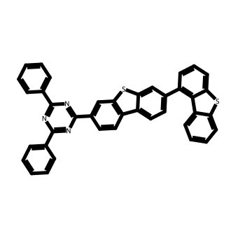 c1ccc(-c2nc(-c3ccccc3)nc(-c3ccc4c(c3)sc3cc(-c5cccc6sc7ccccc7c56)ccc34)n2)cc1